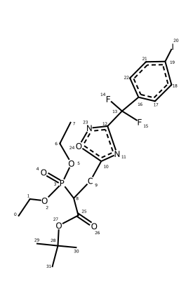 CCOP(=O)(OCC)C(Cc1nc(C(F)(F)c2ccc(I)cc2)no1)C(=O)OC(C)(C)C